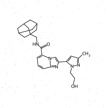 Cc1cc(-c2cn3c(C(=O)NCC45CC6CC(CC(C6)C4)C5)cccc3n2)n(CCO)n1